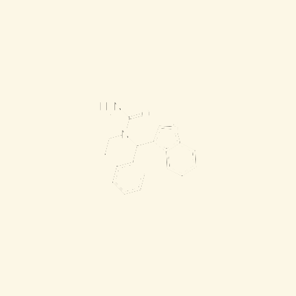 NC(=O)N1CCc2ccccc2C1c1csc2ccccc12